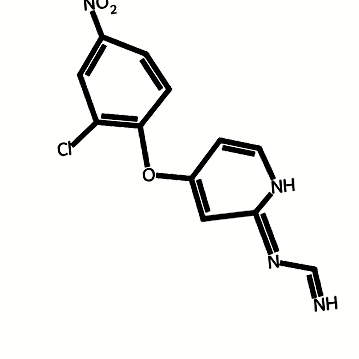 N=C/N=c1/cc(Oc2ccc([N+](=O)[O-])cc2Cl)cc[nH]1